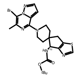 Cc1nc(N2CCC3(CC2)Cc2scnc2[C@H]3NC(=O)OC(C)(C)C)c2ccnn2c1Br